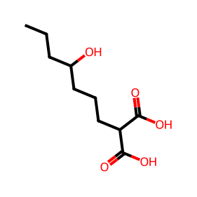 CCCC(O)CCCC(C(=O)O)C(=O)O